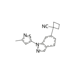 Cc1cc(-n2ncc3ccc(C4(C#N)CCC4)cc32)sn1